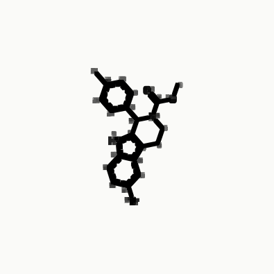 COC(=O)N1CCc2c([nH]c3ccc(Br)cc23)C1c1ccc(C)cc1